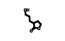 O=C1OCCC1CCCO